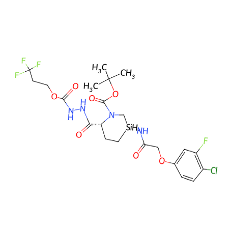 CC(C)(C)OC(=O)N1C[Si@@H](NC(=O)COc2ccc(Cl)c(F)c2)CC[C@@H]1C(=O)NNC(=O)OCCC(F)(F)F